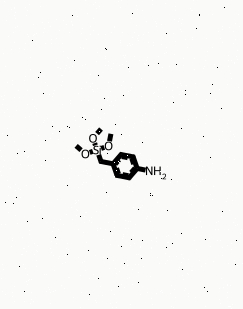 CO[Si](Cc1ccc(N)cc1)(OC)OC